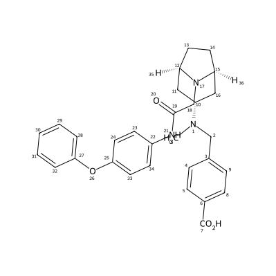 CN(Cc1ccc(C(=O)O)cc1)[C@@H]1C[C@H]2CC[C@@H](C1)N2CC(=O)Nc1ccc(Oc2ccccc2)cc1